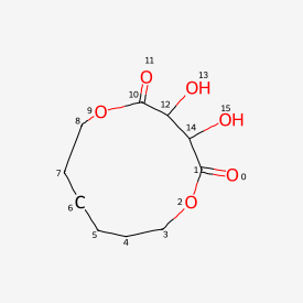 O=C1OCCCCCCOC(=O)C(O)C1O